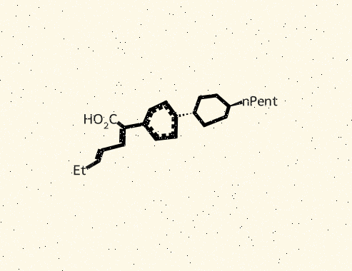 CCC=CC=C(C(=O)O)c1ccc([C@H]2CC[C@H](CCCCC)CC2)cc1